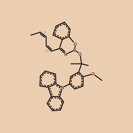 C/C=C\C=C/C1=NB(OC(C)(C)c2cc(-n3c4ccccc4c4ccccc43)ccc2OC)Oc2ccccc21